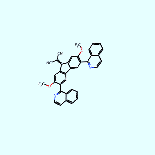 N#CC(C#N)=C1c2cc(OC(F)(F)F)c(-c3nccc4ccccc34)cc2-c2cc(-c3nccc4ccccc34)c(OC(F)(F)F)cc21